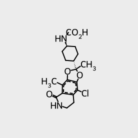 Cc1c2c(c(Cl)c3c1C(=O)NCC3)OC(C)([C@H]1CC[C@H](NC(=O)O)CC1)O2